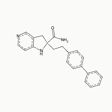 NC(=O)C1(CCc2ccc(-c3ccccc3)cc2)Cc2cnccc2N1